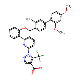 COc1ccc(-c2ccc(COc3ccccc3-c3cccc(-n4ncc(C(=O)O)c4C(F)(F)F)n3)c(C)c2)c(OC)c1